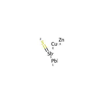 [Cu].[Pb].[S]=[Sb].[Zn]